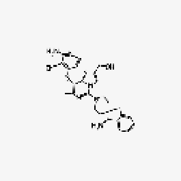 Cc1nc(N2CCC3(CC2)Cc2ccccc2[C@H]3N)n2cc(CO)nc2c1Sc1ccnc(N)c1Cl